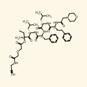 C#CCNC(=O)COCC(=O)O[C@](C)(CI)C(=O)[C@H](CC(C)C)NC(=O)[C@H](Cc1ccccc1)NC(=O)[C@H](CC(C)C)NC(=O)[C@H](CCc1ccccc1)NC(=O)CN1CCOCC1